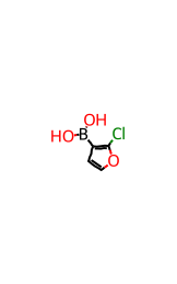 OB(O)c1ccoc1Cl